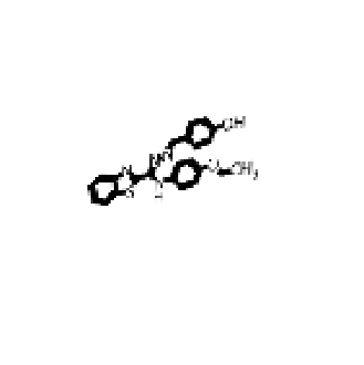 CCOc1ccc(N/C(=N\N=C\c2ccc(O)cc2)c2nc3ccccc3s2)cc1